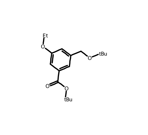 CCOc1cc(COC(C)(C)C)cc(C(=O)OC(C)(C)C)c1